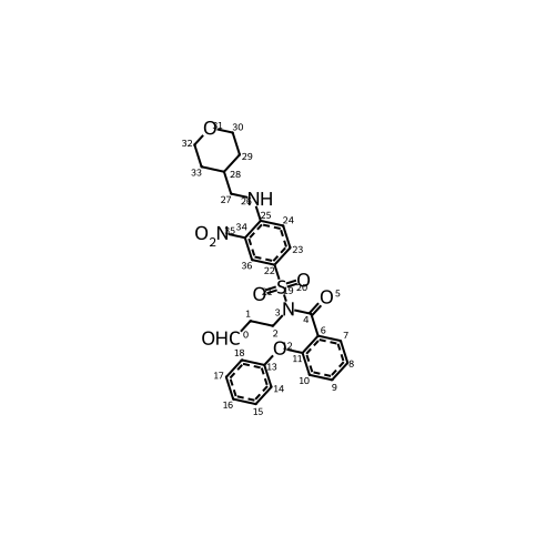 O=CCCN(C(=O)c1ccccc1Oc1ccccc1)S(=O)(=O)c1ccc(NCC2CCOCC2)c([N+](=O)[O-])c1